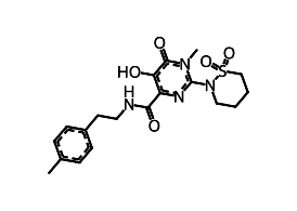 Cc1ccc(CCNC(=O)c2nc(N3CCCCS3(=O)=O)n(C)c(=O)c2O)cc1